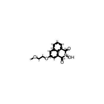 COCCOc1cc2c3c(cccc3c1)C(=O)N(O)C2=O